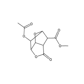 COC(=O)C1C2OC3C(OC(=O)C31)C2OC(C)=O